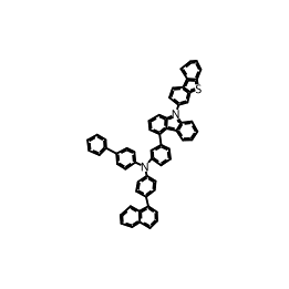 c1ccc(-c2ccc(N(c3ccc(-c4cccc5ccccc45)cc3)c3cccc(-c4cccc5c4c4ccccc4n5-c4ccc5c(c4)sc4ccccc45)c3)cc2)cc1